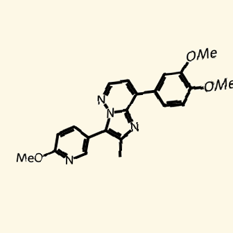 COc1ccc(-c2c(C)nc3c(-c4ccc(OC)c(OC)c4)ccnn23)cn1